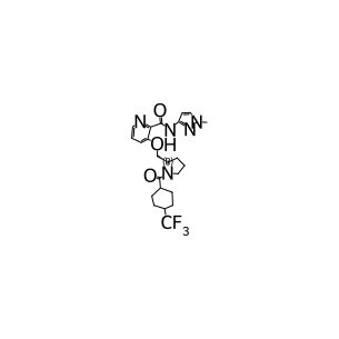 Cn1ccc(NC(=O)c2ncccc2OC[C@H]2CCCN2C(=O)C2CCC(C(F)(F)F)CC2)n1